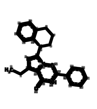 CCc1nc(N2CCCc3ccccc32)n2nc(-c3ccccc3)[nH]c(=O)c12